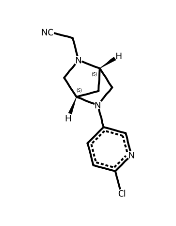 N#CCN1C[C@@H]2C[C@H]1CN2c1ccc(Cl)nc1